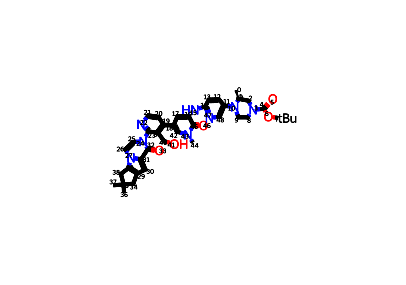 C[C@H]1CN(C(=O)OC(C)(C)C)CCN1c1ccc(Nc2cc(-c3ccnc(-n4ccn5c6c(cc5c4=O)CC(C)(C)C6)c3CO)cn(C)c2=O)nc1